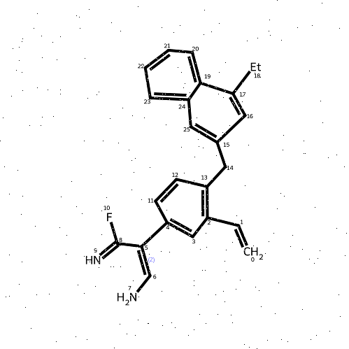 C=Cc1cc(/C(=C/N)C(=N)F)ccc1Cc1cc(CC)c2ccccc2c1